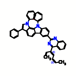 C=C/C(=C\C=C/C)c1nc(-c2ccc3c(c2)c2ccc4c(-c5ccccc5)cn(-c5ccccc5)c4c2n3-c2ccccc2)nc2ccccc12